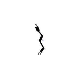 N#C/C=C/C=O